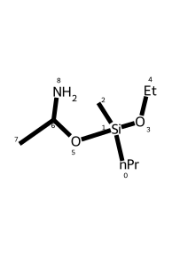 CCC[Si](C)(OCC)OC(C)N